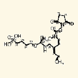 C=C/C=C(\C=C/N(C)C(=O)ON1C(=O)CCC1=O)CNC(=O)OCCCCP(=O)(O)O